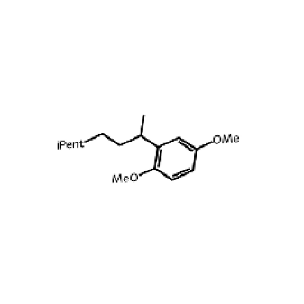 CCCC(C)CCC(C)c1cc(OC)ccc1OC